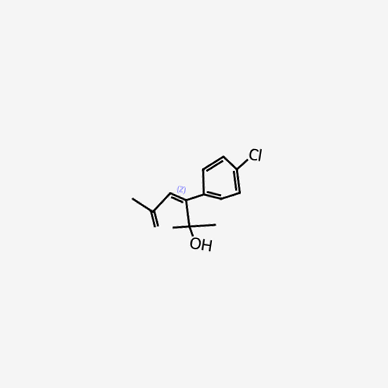 C=C(C)/C=C(/c1ccc(Cl)cc1)C(C)(C)O